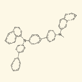 CN(c1ccc(-c2ccc(N(c3ccc(-c4ccccc4)cc3)c3cccc4ccccc34)cc2)cc1)c1ccc2ccccc2c1